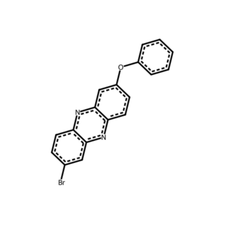 Brc1ccc2nc3cc(Oc4ccccc4)ccc3nc2c1